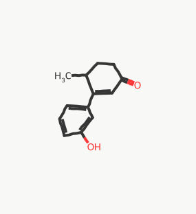 CC1CCC(=O)C=C1c1cccc(O)c1